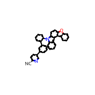 N#Cc1ccc(-c2cccc(-c3ccccc3-n3c4ccccc4c4c5c(ccc43)oc3ccccc35)c2)cn1